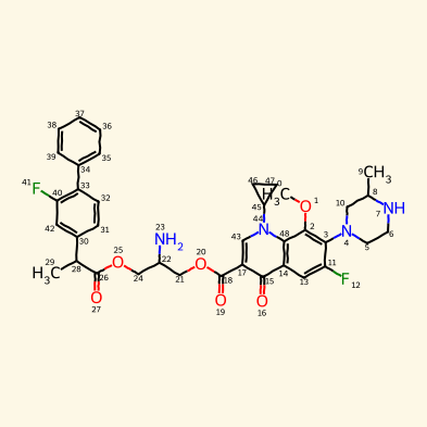 COc1c(N2CCNC(C)C2)c(F)cc2c(=O)c(C(=O)OCC(N)COC(=O)C(C)c3ccc(-c4ccccc4)c(F)c3)cn(C3CC3)c12